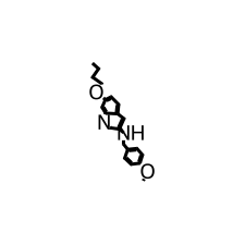 CCCCOc1ccc2cc(NCc3ccc(OC)cc3)cnc2c1